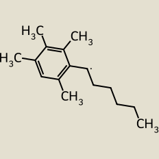 CCCCC[CH]c1c(C)cc(C)c(C)c1C